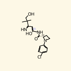 CC(C)(CO)C(=N)/C=C(\O)NC(=O)[C@@H]1CCN1c1ccc(Cl)cc1